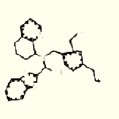 C=CCc1ccc(CN(C(C)c2nc3ccccc3[nH]2)C2CCCc3cccnc32)c(CN)c1